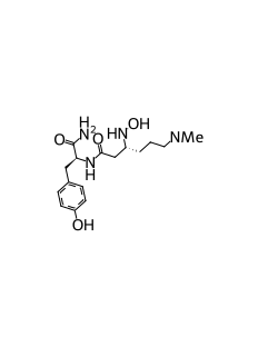 CNCCC[C@H](CC(=O)N[C@@H](Cc1ccc(O)cc1)C(N)=O)NO